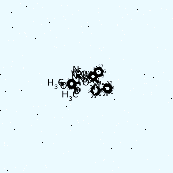 COc1ccc(CN(c2ncns2)S(=O)(=O)c2cc3c(c(CN4CCCC[C@@H]4c4ccccc4)c2)CCCC3)c(OC)c1